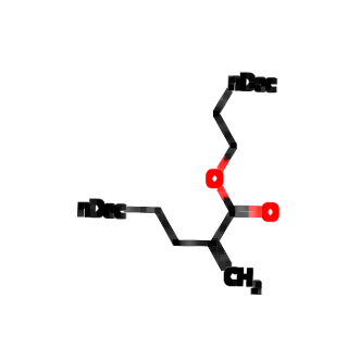 C=C(CCCCCCCCCCCC)C(=O)OCCCCCCCCCCCC